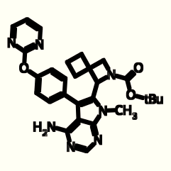 Cn1c(C2N(C(=O)OC(C)(C)C)CC23CCC3)c(-c2ccc(Oc3ncccn3)cc2)c2c(N)ncnc21